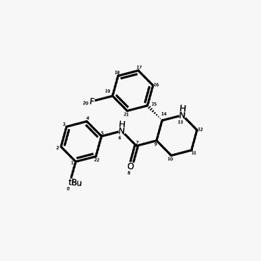 CC(C)(C)c1cccc(NC(=O)C2CCCN[C@H]2c2cccc(F)c2)c1